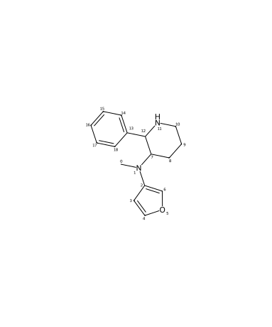 CN(c1ccoc1)C1CCCNC1c1ccccc1